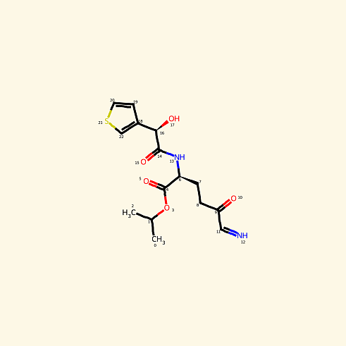 CC(C)OC(=O)[C@H](CCC(=O)C=N)NC(=O)[C@H](O)c1ccsc1